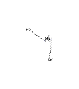 O=C(N[C@@H]1C[C@H]1NC(=O)/C(F)=C\CCCCCCCCCCCCCCCO)/C(F)=C\CCCCCCCCCCCCCCCO